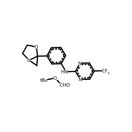 CC(C)(C)OC=O.FC(F)(F)c1cnc(Nc2cccc(C34CN3CCO4)c2)nc1